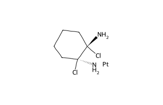 N[C@]1(Cl)CCCC[C@]1(N)Cl.[Pt]